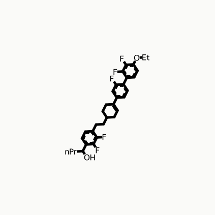 CCCC(O)c1ccc(CCC2CC=C(c3ccc(-c4ccc(OCC)c(F)c4F)c(F)c3)CC2)c(F)c1F